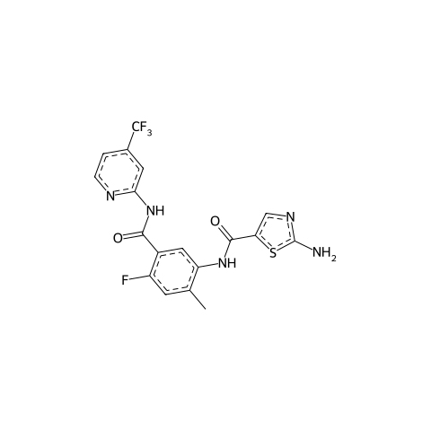 Cc1cc(F)c(C(=O)Nc2cc(C(F)(F)F)ccn2)cc1NC(=O)c1cnc(N)s1